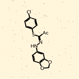 CC(=O)C(=NNc1ccc2c(c1)OCO2)Sc1ccc(Cl)cc1